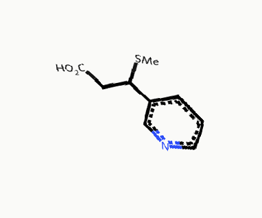 CSC(CC(=O)O)c1cccnc1